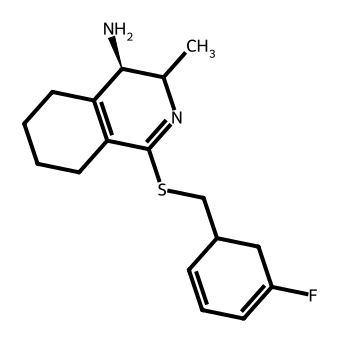 CC1N=C(SCC2C=CC=C(F)C2)C2=C(CCCC2)[C@H]1N